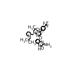 CC(C)CN(CC1CCCCN1CC(C)C)c1nc(Oc2cccc3[nH]c(=O)c(N)nc23)cc(-c2ccc(C(F)(F)F)cc2)n1